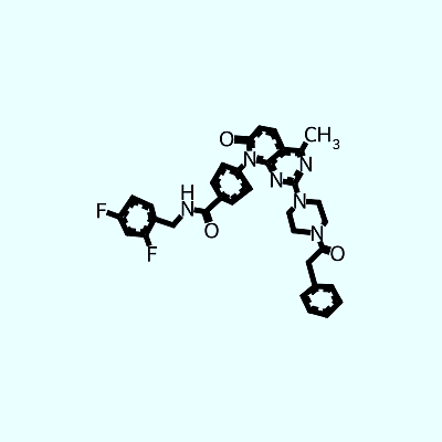 Cc1nc(N2CCN(C(=O)Cc3ccccc3)CC2)nc2c1ccc(=O)n2-c1ccc(C(=O)NCc2ccc(F)cc2F)cc1